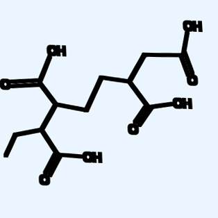 CCC(C(=O)O)C(CCC(CC(=O)O)C(=O)O)C(=O)O